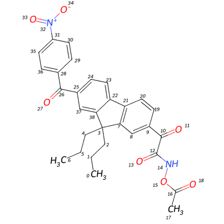 CCCC1(CCC)c2cc(C(=O)C(=O)NOC(C)=O)ccc2-c2ccc(C(=O)c3ccc([N+](=O)[O-])cc3)cc21